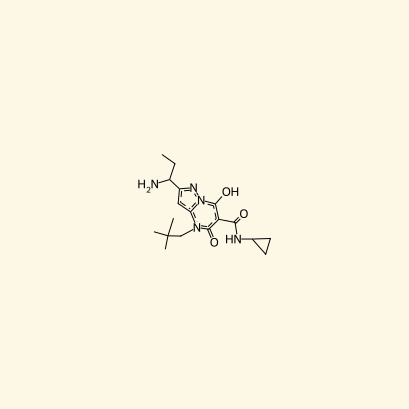 CCC(N)c1cc2n(CC(C)(C)C)c(=O)c(C(=O)NC3CC3)c(O)n2n1